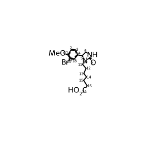 COc1ccc(C2CNC(=O)N2CCCCCCC(=O)O)cc1Br